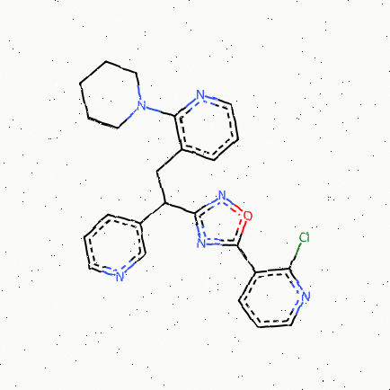 Clc1ncccc1-c1nc(C(Cc2cccnc2N2CCCCC2)c2cccnc2)no1